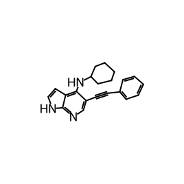 C(#Cc1cnc2[nH]ccc2c1NC1CCCCC1)c1ccccc1